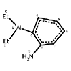 C[CH2][Al]([CH2]C)[c]1ccccc1N